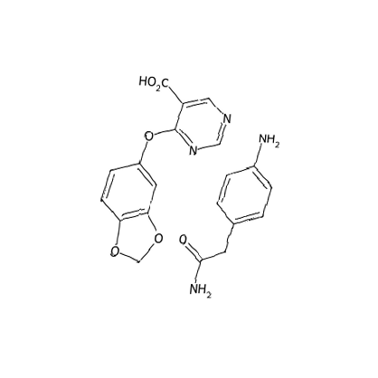 NC(=O)Cc1ccc(N)cc1.O=C(O)c1cncnc1Oc1ccc2c(c1)OCO2